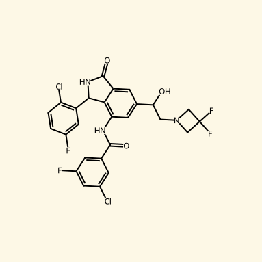 O=C(Nc1cc(C(O)CN2CC(F)(F)C2)cc2c1C(c1cc(F)ccc1Cl)NC2=O)c1cc(F)cc(Cl)c1